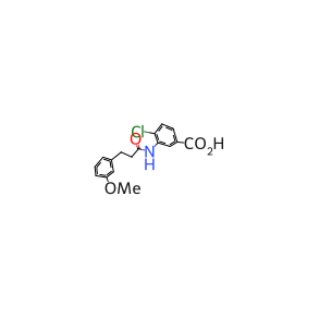 COc1cccc(CCC(=O)Nc2cc(C(=O)O)ccc2Cl)c1